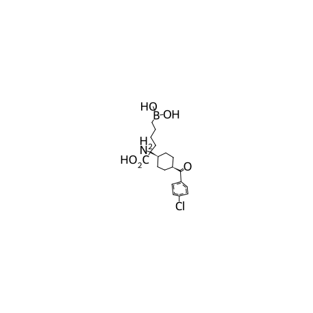 NC(CCCCB(O)O)(C(=O)O)[C@H]1CC[C@@H](C(=O)c2ccc(Cl)cc2)CC1